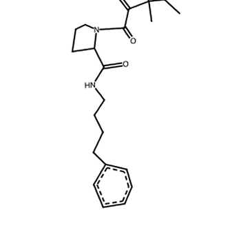 CCC(C)(C)C(=O)C(=O)N1CCCC1C(=O)NCCCCc1ccccc1